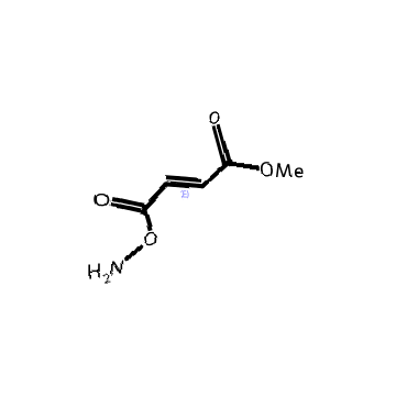 COC(=O)/C=C/C(=O)ON